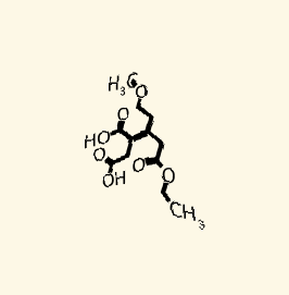 CCOC(=O)CC(CCOC)=C(CC(=O)O)C(=O)O